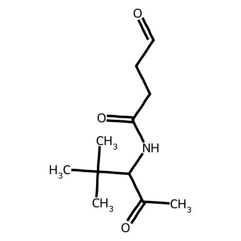 CC(=O)C(NC(=O)CCC=O)C(C)(C)C